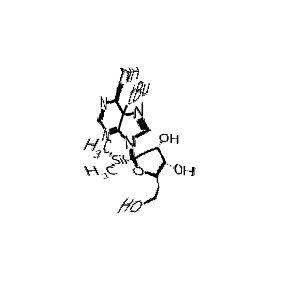 C[SiH](C)[C@@]1(N2C=NC3(C(C)(C)C)C(=N)N=CN=C23)O[C@H](CO)[C@@H](O)[C@H]1O